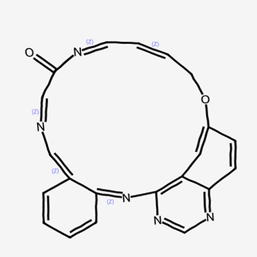 O=C1\C=N/C=c2/cccc/c2=N/c2ncnc3ccc(cc23)OC/C=C\C=N/1